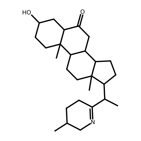 CC1CCC(C(C)C2CCC3C4CC(=O)C5CC(O)CCC5(C)C4CCC23C)=NC1